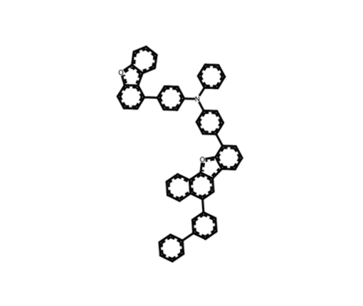 c1ccc(-c2cccc(-c3cc4c5cccc(-c6ccc(N(c7ccccc7)c7ccc(-c8cccc9oc%10ccccc%10c89)cc7)cc6)c5oc4c4ccccc34)c2)cc1